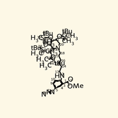 COC(=O)c1cc(N=[N+]=[N-])ccc1NCCCCCCN1CC(O[Si](C)(C)C(C)(C)C)C(O[Si](C)(C)C(C)(C)C)C(O[Si](C)(C)C(C)(C)C)[C@H]1CO[Si](C)(C)C(C)(C)C